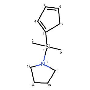 C[Si](C)(C1=CC=CC1)N1CCCC1